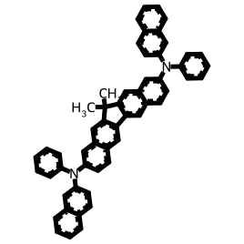 CC1(C)c2cc3cc(N(c4ccccc4)c4ccc5ccccc5c4)ccc3cc2-c2cc3ccc(N(c4ccccc4)c4ccc5ccccc5c4)cc3cc21